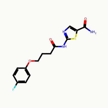 NC(=O)c1cnc(NC(=O)CCCOc2ccc(F)cc2)s1